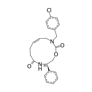 O=C1CCC=CCN(Cc2ccc(Cl)cc2)C(=O)OC[C@@H](c2ccccc2)N1